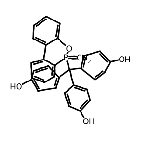 C=P1(C(c2ccc(O)cc2)(c2ccc(O)cc2)c2ccc(O)cc2)Oc2ccccc2-c2ccccc21